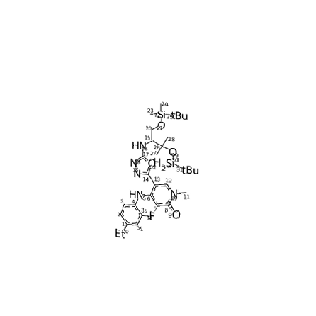 CCc1ccc(Nc2cc(=O)n(C)cc2-c2nnc(NC(CO[Si](C)(C)C(C)(C)C)C(C)(C)O[SiH2]C(C)(C)C)o2)c(F)c1